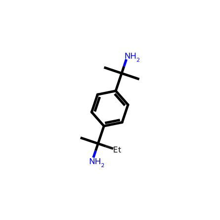 CCC(C)(N)c1ccc(C(C)(C)N)cc1